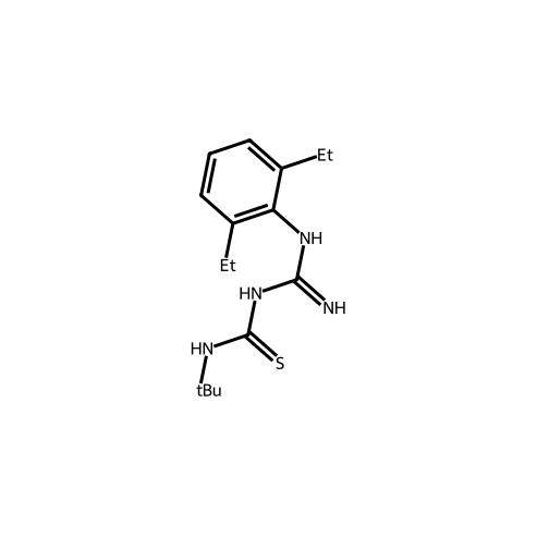 CCc1cccc(CC)c1NC(=N)NC(=S)NC(C)(C)C